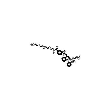 CCCN(CCCN(C)C)C1=C/C(=C/c2sc3ccc(C(=O)NCCOCCOCCOCCO)cc3[n+]2C)c2ccccc2N1c1ccccc1